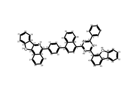 c1ccc(-c2nc(-c3ccc(-c4ccc(-c5nc6c7ccccc7oc6c6ccccc56)cc4)c4ccccc34)nc(-c3cccc4c3oc3ccccc34)n2)cc1